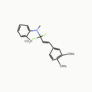 COc1ccc(/C=C/C(F)(F)N(C)c2ccccc2C(=O)O)cc1OC